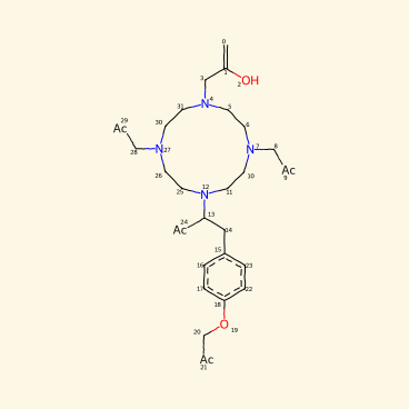 C=C(O)CN1CCN(CC(C)=O)CCN(C(Cc2ccc(OCC(C)=O)cc2)C(C)=O)CCN(CC(C)=O)CC1